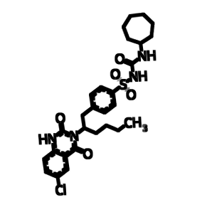 CCCCC(Cc1ccc(S(=O)(=O)NC(=O)NC2CCCCCC2)cc1)n1c(=O)[nH]c2ccc(Cl)cc2c1=O